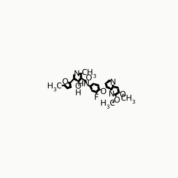 COc1cc2nccc(Oc3ccc(NC(=O)c4c(C)ncc(-c5ccc(C)o5)c4O)cc3F)c2nc1OC